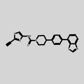 C#Cc1nc(NC(=O)N2CCC(c3ccc(-c4cccc5ncsc45)cc3)CC2)cs1